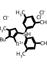 CC1=C(C(C)(C)C)[C]([Ti+3])=C([SiH](c2cc(C)cc(C)c2)c2cc(C)cc(C)c2)C1.[Cl-].[Cl-].[Cl-]